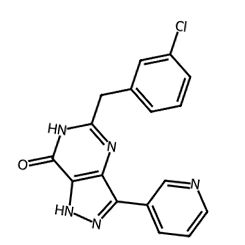 O=c1[nH]c(Cc2cccc(Cl)c2)nc2c(-c3cccnc3)n[nH]c12